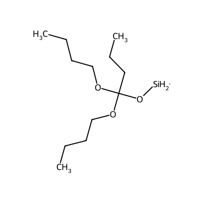 CCCCOC(CCC)(O[SiH2])OCCCC